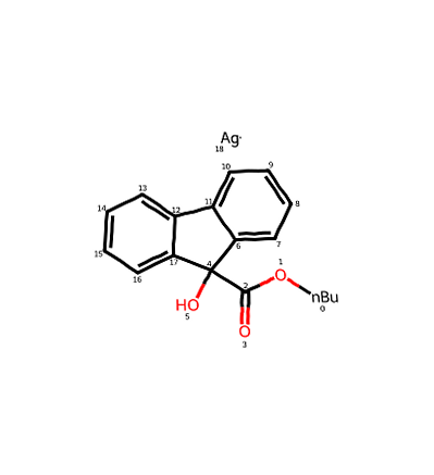 CCCCOC(=O)C1(O)c2ccccc2-c2ccccc21.[Ag]